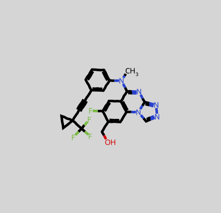 CN(c1cccc(C#CC2(C(F)(F)F)CC2)c1)c1nc2nncn2c2cc(CO)c(F)cc12